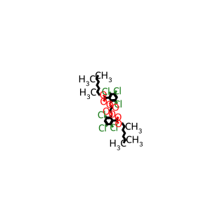 CC(C)CCCC(C)COC(=O)c1c(Cl)c(Cl)cc(Cl)c1OC(=O)C(=O)Oc1c(Cl)cc(Cl)c(Cl)c1C(=O)OCC(C)CCCC(C)C